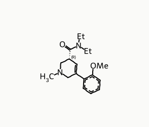 CCN(CC)C(=O)[C@@H]1C=C(c2ccccc2OC)CN(C)C1